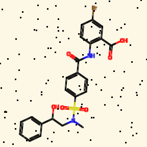 CN(CC(O)c1ccccc1)S(=O)(=O)c1ccc(C(=O)Nc2ccc(Br)cc2C(=O)O)cc1